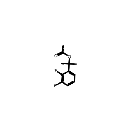 CC(=O)OC(C)(C)c1cccc(F)c1F